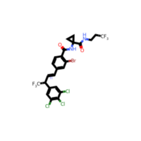 O=C(NC1(C(=O)NCCC(F)(F)F)CC1)c1ccc(/C=C/C(c2cc(Cl)c(Cl)c(Cl)c2)C(F)(F)F)cc1Br